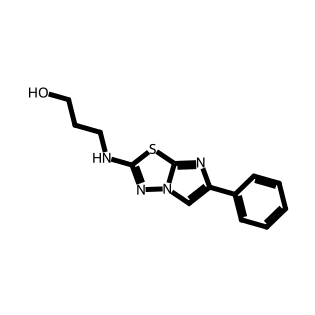 OCCCNc1nn2cc(-c3ccccc3)nc2s1